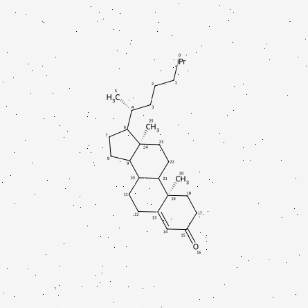 CC(C)CCC[C@@H](C)C1CCC2C3CCC4=CC(=O)CC[C@]4(C)C3CC[C@@]21C